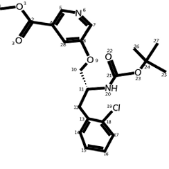 COC(=O)c1cncc(OC[C@@H](Cc2ccccc2Cl)NC(=O)OC(C)(C)C)c1